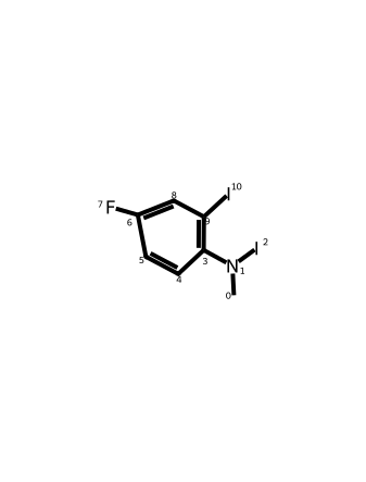 CN(I)c1ccc(F)cc1I